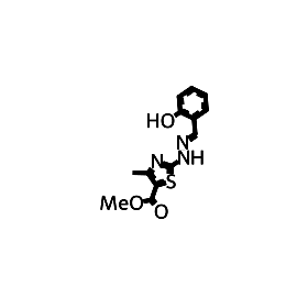 COC(=O)c1sc(N/N=C/c2ccccc2O)nc1C